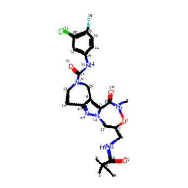 CN1OC(CNC(=O)C(C)(C)C)Cn2nc3c(c2C1=O)CN(C(=O)Nc1ccc(F)c(Cl)c1)CC3